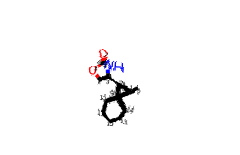 CC1[C@H](C2COC(=O)N2)C12CCCCC2